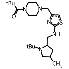 CC1CC(CNc2nc(CN3CCN(C(=O)C(C)(C)C)CC3)cs2)N(C(C)(C)C)C1